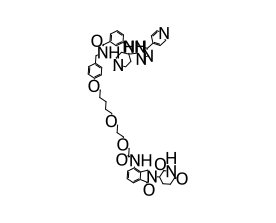 CN1CCC(Nc2cccc(C(=O)NCc3ccc(OCCCCCOCCCOCC(=O)Nc4cccc5c4CN(C4CCC(=O)NC4=O)C5=O)cc3)c2)(c2nnc(-c3ccncc3)[nH]2)CC1